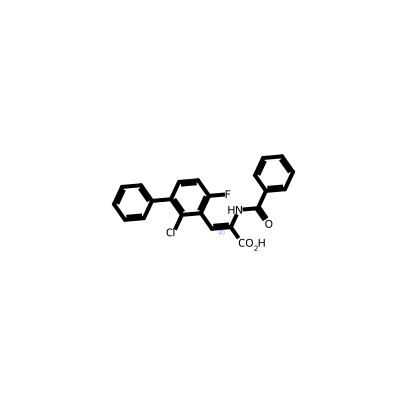 O=C(O)/C(=C/c1c(F)ccc(-c2ccccc2)c1Cl)NC(=O)c1ccccc1